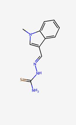 Cn1cc(C=NNC(N)=S)c2ccccc21